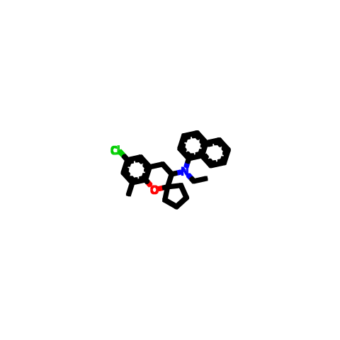 CCN(c1cccc2ccccc12)C1Cc2cc(Cl)cc(C)c2OC12CCCC2